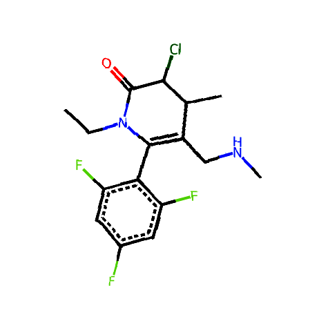 CCN1C(=O)C(Cl)C(C)C(CNC)=C1c1c(F)cc(F)cc1F